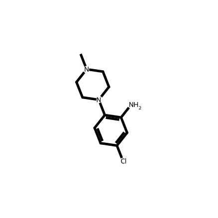 CN1CCN(c2ccc(Cl)cc2N)CC1